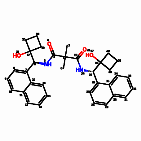 CC(C)(C(=O)N[C@@H](c1cccc2ccccc12)C1(O)CCC1)C(=O)N[C@@H](c1cccc2ccccc12)C1(O)CCC1